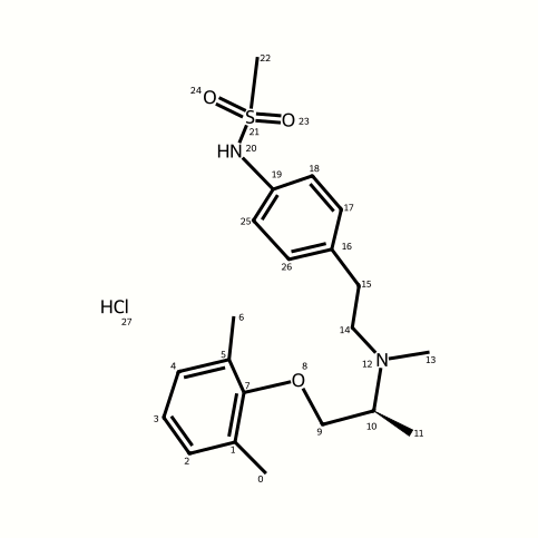 Cc1cccc(C)c1OC[C@H](C)N(C)CCc1ccc(NS(C)(=O)=O)cc1.Cl